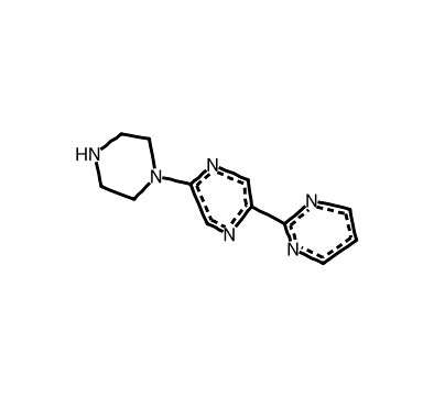 c1cnc(-c2cnc(N3CCNCC3)cn2)nc1